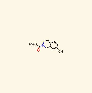 COC(=O)N1CCc2ccc(C#N)cc2C1